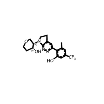 Cc1cc(C(F)(F)F)cc(O)c1-c1cc2c(nn1)N([C@@H]1COCC[C@H]1O)CC2